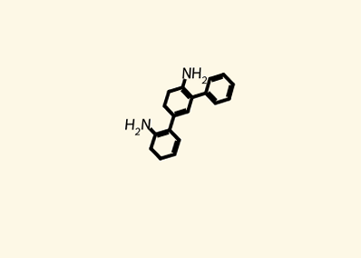 NC1=C(C2=CC(c3ccccc3)=C(N)CC2)C=CCC1